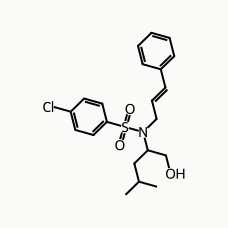 CC(C)CC(CO)N(CC=Cc1ccccc1)S(=O)(=O)c1ccc(Cl)cc1